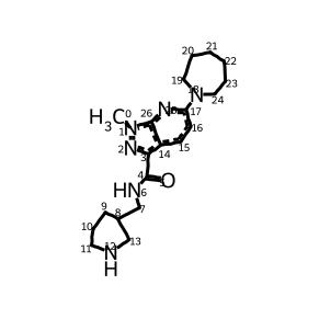 Cn1nc(C(=O)NCC2CCCNC2)c2ccc(N3CCCCCC3)nc21